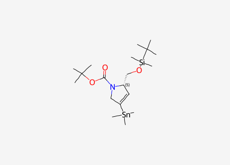 CC(C)(C)OC(=O)N1C[C]([Sn]([CH3])([CH3])[CH3])=C[C@H]1CO[Si](C)(C)C(C)(C)C